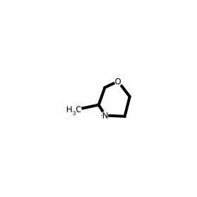 CC1COCC[N]1